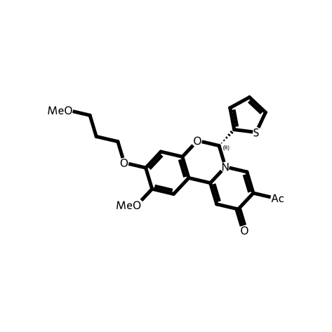 COCCCOc1cc2c(cc1OC)-c1cc(=O)c(C(C)=O)cn1[C@@H](c1cccs1)O2